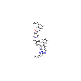 COc1cccc(NC(=O)C2CCN(Cc3ccc(-c4nc5c(cnc6cc(C)nn65)cc4-c4ccccc4)cc3)CC2)c1